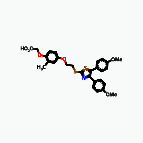 COc1ccc(-c2nc(SCCOc3ccc(OCC(=O)O)c(C)c3)sc2-c2ccc(OC)cc2)cc1